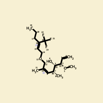 C=C[C@H](OC)[C@@H](O)[C@H](C)/C=C(/C)COC/C=C(/CCC)C(F)(F)F